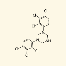 Clc1ccc(N2CNCN(c3ccc(Cl)c(Cl)c3Cl)C2)c(Cl)c1Cl